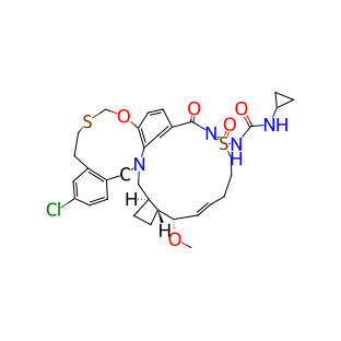 CO[C@H]1/C=C/CCCS(=O)(NC(=O)NC2CC2)=NC(=O)c2ccc3c(c2)N(Cc2ccc(Cl)cc2CCSCO3)C[C@@H]2CC[C@H]21